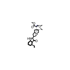 C=Cc1cccc2c1C(=O)C(C1CC3C[C@H](/C(=C\OC)C(=O)OC)[C@H](CC)CN3C1)N2